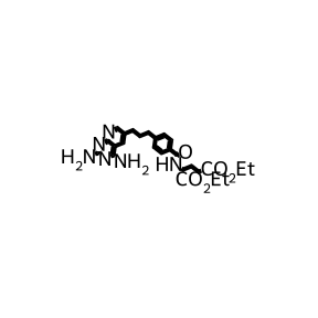 CCOC(=O)CC[C@H](NC(=O)c1ccc(CCCc2cnc3nc(N)nc(N)c3c2)cc1)C(=O)OCC